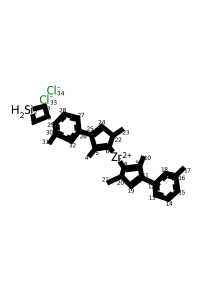 C1C[SiH2]C1.CC1=[C]([Zr+2][C]2=C(C)C(c3cccc(C)c3)=CC2C)C(C)C=C1c1cccc(C)c1.[Cl-].[Cl-]